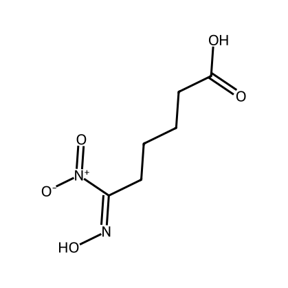 O=C(O)CCCCC(=NO)[N+](=O)[O-]